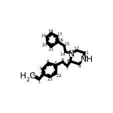 C=Cc1ccc(CCC2CNCCN2CCc2ccccc2)cc1